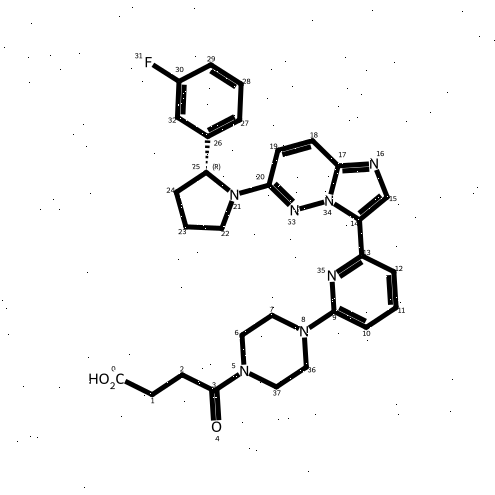 O=C(O)CCC(=O)N1CCN(c2cccc(-c3cnc4ccc(N5CCC[C@@H]5c5cccc(F)c5)nn34)n2)CC1